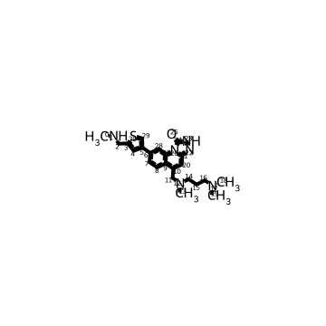 CNCc1cc(-c2ccc3c(CN(C)CCCN(C)C)cc4n[nH]c(=O)n4c3c2)cs1